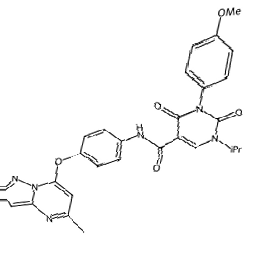 COc1ccc(-n2c(=O)c(C(=O)Nc3ccc(Oc4cc(C)nc5ccnn45)cc3)cn(C(C)C)c2=O)cc1